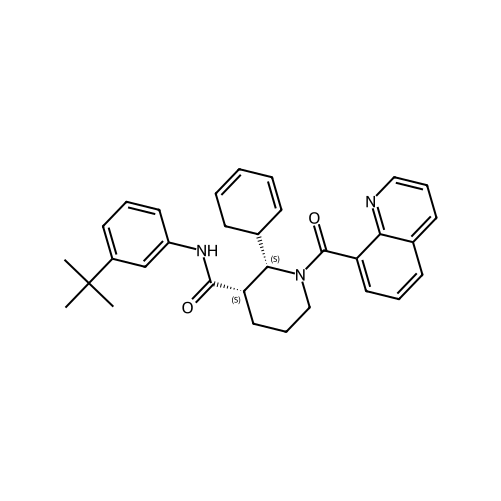 CC(C)(C)c1cccc(NC(=O)[C@H]2CCCN(C(=O)c3cccc4cccnc34)[C@H]2C2C=CC=CC2)c1